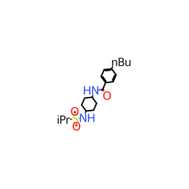 CCCCc1ccc(C(=O)NC2CCC(NS(=O)(=O)C(C)C)CC2)cc1